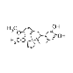 COc1ccc2c(c1OC)C1(CC=CC1)N1CCc3cc(O)c(O)cc3C1C2